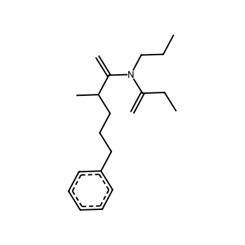 C=C(CC)N(CCC)C(=C)C(C)CCCc1ccccc1